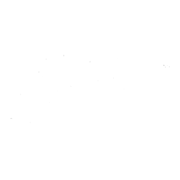 COc1ccc(COc2ccc3c(=O)cc(CCl)oc3c2)cc1